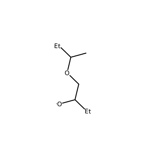 CCC([O])COC(C)CC